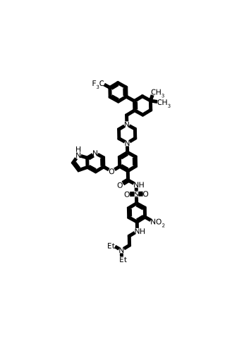 CCN(CC)CCNc1ccc(S(=O)(=O)NC(=O)c2ccc(N3CCN(CC4=C(c5ccc(C(F)(F)F)cc5)CC(C)(C)CC4)CC3)cc2Oc2cnc3[nH]ccc3c2)cc1[N+](=O)[O-]